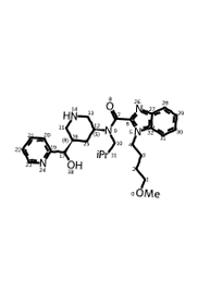 COCCCCn1c(C(=O)N(CC(C)C)[C@@H]2CNC[C@H](C(O)c3ccccn3)C2)nc2ccccc21